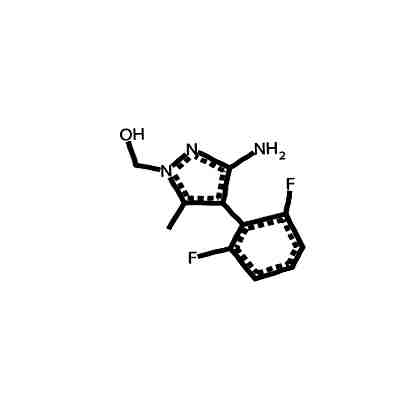 Cc1c(-c2c(F)cccc2F)c(N)nn1CO